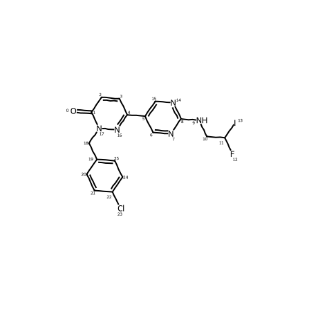 O=c1ccc(-c2cnc(NCC(F)I)nc2)nn1Cc1ccc(Cl)cc1